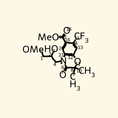 COCC(O)CN1C(=O)C(C)(C)Oc2cc(C(F)(F)F)c(C(=O)OC)cc21